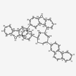 C1=C(c2ccc3c(ccc4ccccc43)c2)N=C(c2cccc3oc4ccc(-c5ccc6oc7ccccc7c6c5)cc4c23)N=C(c2ccccc2)C1